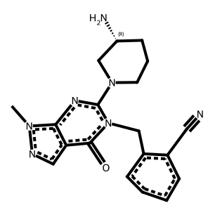 Cn1ncc2c(=O)n(Cc3ccccc3C#N)c(N3CCC[C@@H](N)C3)nc21